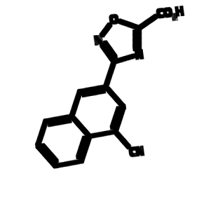 N#Cc1cc(-c2noc(C(=O)O)n2)cc2ccccc12